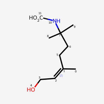 C/C(=C/CO)CCC(C)(C)NC(=O)O